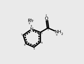 NC(=O)c1ccccn1.[Rh]